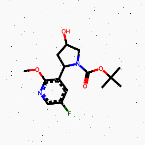 COc1ncc(F)cc1C1CC(O)CN1C(=O)OC(C)(C)C